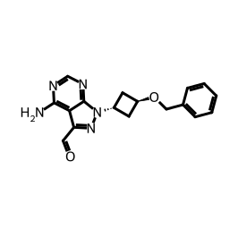 Nc1ncnc2c1c(C=O)nn2[C@H]1C[C@H](OCc2ccccc2)C1